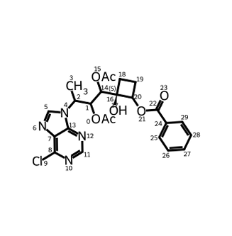 CC(=O)OC(C(C)n1cnc2c(Cl)ncnc21)C(OC(C)=O)[C@]1(O)CCC1OC(=O)c1ccccc1